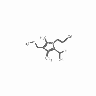 CSCc1c(C)c(C(C)C)n(CCO)c1C